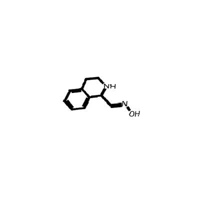 ON=CC1NCCc2ccccc21